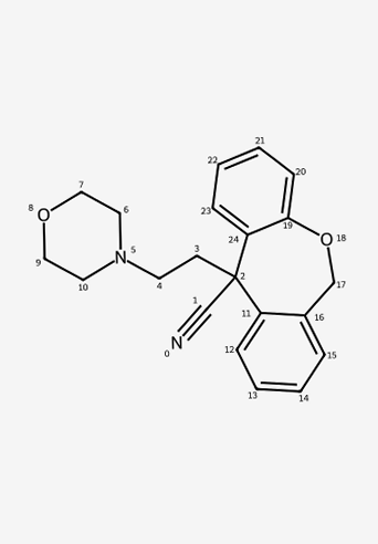 N#CC1(CCN2CCOCC2)c2ccccc2COc2ccccc21